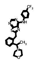 CC(c1ccccc1Cc1nc2c(Nc3ccc(C(F)(F)F)cc3)ncnc2s1)N1CCOCC1